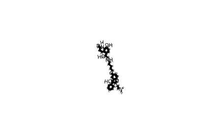 CN(C)CCOC(=O)C(O)(c1ccccc1)c1cccc(OCCCCCNCC(O)c2ccc(O)c3[nH]c(=O)ccc23)c1